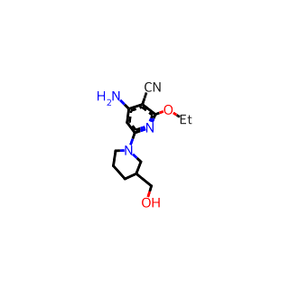 CCOc1nc(N2CCCC(CO)C2)cc(N)c1C#N